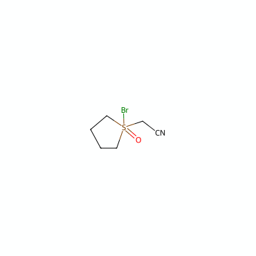 N#CCS1(=O)(Br)CCCC1